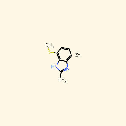 CSc1cccc2nc(C)[nH]c12.[Zn]